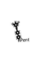 CCCCCc1ccc(-c2ccc(C#Cc3cc(I)c(C)c(I)c3)cc2)cc1